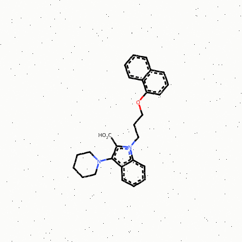 O=C(O)c1c(N2CCCCC2)c2ccccc2n1CCCOc1cccc2ccccc12